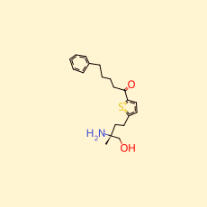 C[C@](N)(CO)CCc1ccc(C(=O)CCCCc2ccccc2)s1